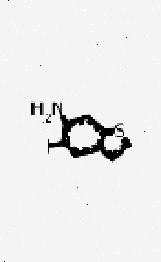 Nc1cc2sccc2cc1I